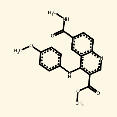 CNC(=O)c1ccc2ncc(C(=O)OC)c(Nc3ccc(OC)cc3)c2c1